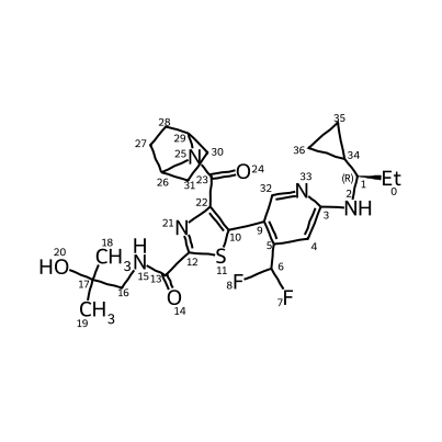 CC[C@@H](Nc1cc(C(F)F)c(-c2sc(C(=O)NCC(C)(C)O)nc2C(=O)N2C3CCC2CC3)cn1)C1CC1